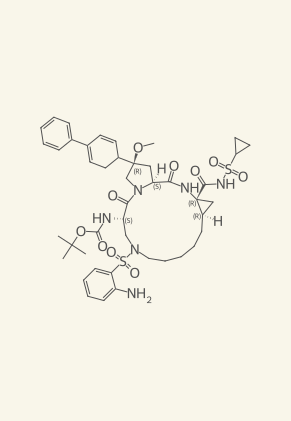 CO[C@@]1(C2C=CC(c3ccccc3)=CC2)C[C@H]2C(=O)N[C@]3(C(=O)NS(=O)(=O)C4CC4)C[C@H]3CCCCCN(S(=O)(=O)c3ccccc3N)C[C@H](NC(=O)OC(C)(C)C)C(=O)N2C1